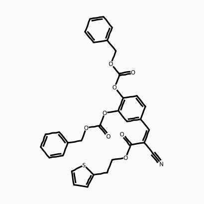 N#CC(=Cc1ccc(OC(=O)OCc2ccccc2)c(OC(=O)OCc2ccccc2)c1)C(=O)OCCc1cccs1